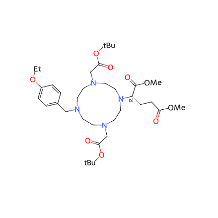 CCOc1ccc(CN2CCN(CC(=O)OC(C)(C)C)CCN([C@@H](CCC(=O)OC)C(=O)OC)CCN(CC(=O)OC(C)(C)C)CC2)cc1